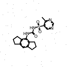 Cc1ncncc1S(=O)(=O)NC(=O)Nc1c2c(cc3c1CCC3)CCC2